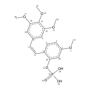 COc1ccc(/C=C\c2cc(OC)c(OC)c(OC)c2)c(OP(=O)(O)O)c1